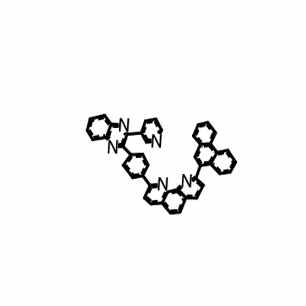 c1cncc(-c2nc3ccccc3nc2-c2ccc(-c3ccc4ccc5ccc(-c6cc7ccccc7c7ccccc67)nc5c4n3)cc2)c1